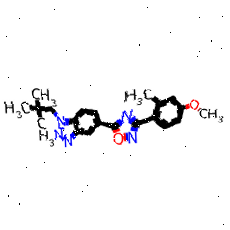 COc1ccc(-c2noc(-c3ccc4c(c3)nnn4CC(C)(C)C)n2)c(C)c1